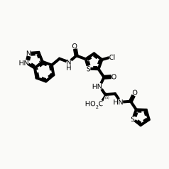 O=C(NC[C@H](NC(=O)c1sc(C(=O)NCc2cccc3[nH]ncc23)cc1Cl)C(=O)O)c1cccs1